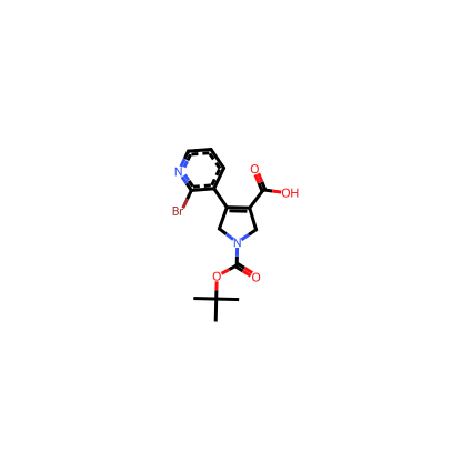 CC(C)(C)OC(=O)N1CC(C(=O)O)=C(c2cccnc2Br)C1